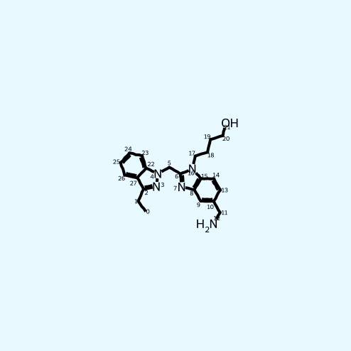 CCc1nn(Cc2nc3cc(CN)ccc3n2CCCCO)c2ccccc12